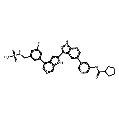 CS(=O)(=O)NCc1cc(F)cc(-c2cncc3[nH]c(-c4n[nH]c5ncc(-c6cncc(NC(=O)C7CCCC7)c6)cc45)cc23)c1